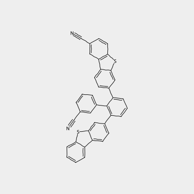 N#Cc1cccc(-c2c(-c3ccc4c(c3)sc3ccccc34)cccc2-c2ccc3c(c2)sc2ccc(C#N)cc23)c1